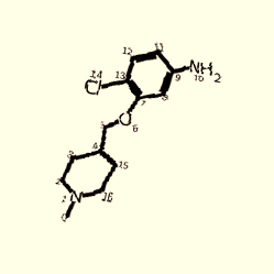 CN1CCC(COc2cc(N)ccc2Cl)CC1